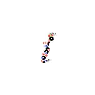 CCCN1CCOc2ncc(S(=O)(=O)N3CCC4(CC3)C[C@@H](NCC(O)COc3cccc(S(=O)(=O)NC)c3)CO4)cc21